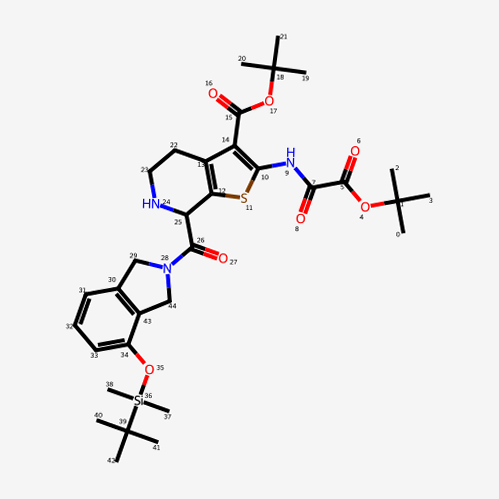 CC(C)(C)OC(=O)C(=O)Nc1sc2c(c1C(=O)OC(C)(C)C)CCNC2C(=O)N1Cc2cccc(O[Si](C)(C)C(C)(C)C)c2C1